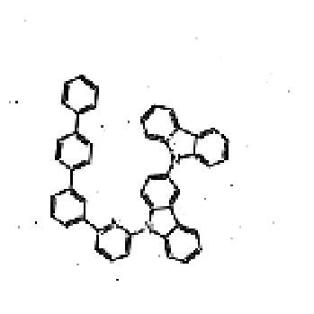 c1ccc(-c2ccc(-c3cccc(-c4cccc(-n5c6ccccc6c6cc(-n7c8ccccc8c8ccccc87)ccc65)n4)c3)cc2)cc1